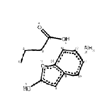 CCCC(=O)O.Oc1cc2ccccc2o1.[AlH3]